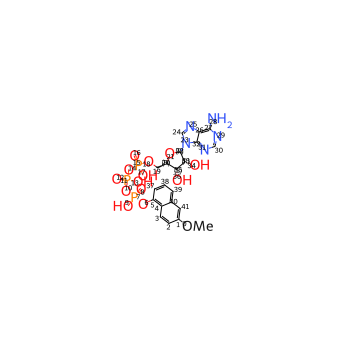 COc1ccc2c(OP(=O)(O)OP(=O)(O)OP(=O)(O)OC[C@H]3O[C@@H](n4cnc5c(N)ncnc54)[C@H](O)[C@@H]3O)cccc2c1